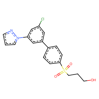 O=S(=O)(CCCO)c1ccc(-c2cc(Cl)cc(-n3cccn3)c2)cc1